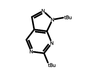 CC(C)(C)c1ncc2cnn(C(C)(C)C)c2n1